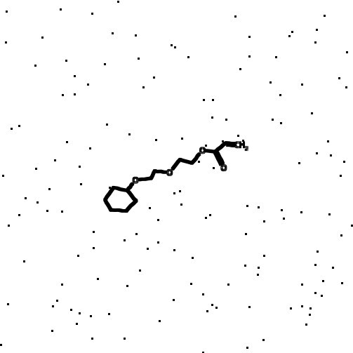 C=CC(=O)OCCOCCOC1CCCCC1